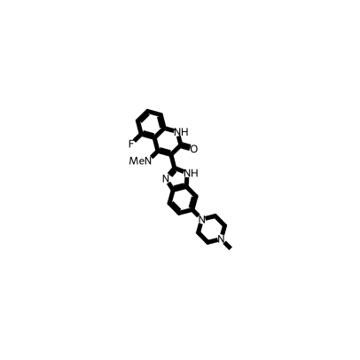 CNc1c(-c2nc3ccc(N4CCN(C)CC4)cc3[nH]2)c(=O)[nH]c2cccc(F)c12